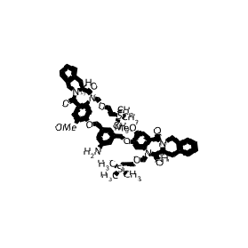 COc1cc2c(cc1OCc1cc(N)cc(COc3cc4c(cc3OC)C(=O)N3Cc5ccccc5C[C@H]3C(=O)N4COCC[Si](C)(C)C)c1)N(COCC[Si](C)(C)C)C(=O)[C@@H]1Cc3ccccc3CN1C2=O